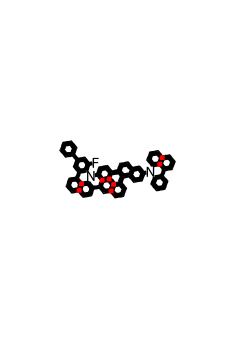 Fc1cc(-c2ccccc2)cc(-c2ccccc2)c1N(c1ccc2c(c1)c1ccccc1c1c3ccc(N(c4ccccc4)c4ccccc4-c4ccccc4)cc3ccc21)c1ccccc1-c1ccccc1